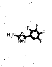 Nc1nnc(-c2cc(F)c(F)c(F)c2F)s1